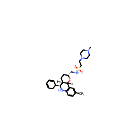 CN1CCN(CCS(=O)(=O)NC[C@H]2CC[C@@H]3[C@H](O2)c2cc(C(F)(F)F)ccc2N[C@H]3C2C=CC=CC2)CC1